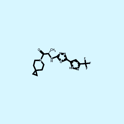 C[C@H](Nc1nnc(-c2cc(C(F)(F)F)n[nH]2)o1)C(=O)N1CCC2(CC1)CC2